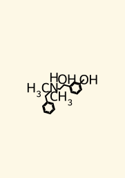 CC(C)(Cc1ccccc1)NCC(O)c1cccc(O)c1